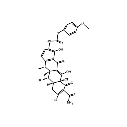 COc1ccc(OC(=O)Nc2ccc3c(c2O)C(=O)C2=C(O)[C@]4(O)C(=O)C(C(N)=O)=C(O)C[C@@H]4[C@@H](O)[C@@H]2[C@H]3C)cc1